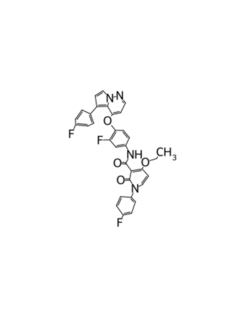 CCOc1ccn(-c2ccc(F)cc2)c(=O)c1C(=O)Nc1ccc(Oc2ccnn3ccc(-c4ccc(F)cc4)c23)c(F)c1